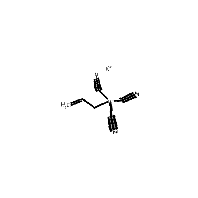 C=CC[B-](C#N)(C#N)C#N.[K+]